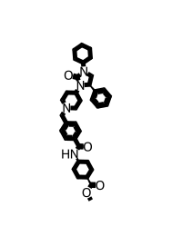 COC(=O)[C@H]1CC[C@@H](NC(=O)c2ccc(CN3CCC(N4C(=O)N(C5CCCCC5)C[C@H]4c4ccccc4)CC3)cc2)CC1